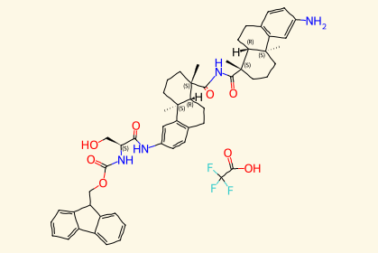 C[C@]1(C(=O)NC(=O)[C@@]2(C)CCC[C@]3(C)c4cc(NC(=O)[C@H](CO)NC(=O)OCC5c6ccccc6-c6ccccc65)ccc4CC[C@@H]23)CCC[C@]2(C)c3cc(N)ccc3CC[C@@H]12.O=C(O)C(F)(F)F